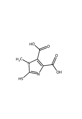 Cn1c(S)nc(C(=O)O)c1C(=O)O